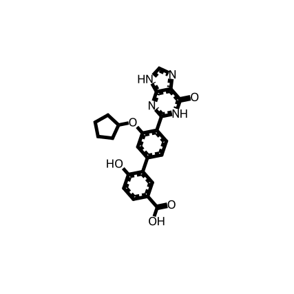 O=C(O)c1ccc(O)c(-c2ccc(-c3nc4[nH]cnc4c(=O)[nH]3)c(OC3CCCC3)c2)c1